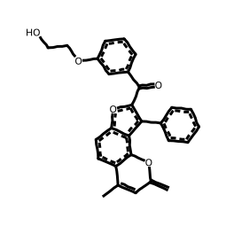 C=C1C=C(C)c2ccc3oc(C(=O)c4cccc(OCCO)c4)c(-c4ccccc4)c3c2O1